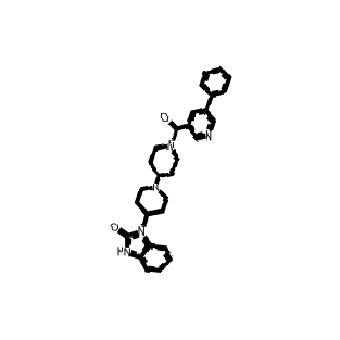 O=C(c1cncc(-c2ccccc2)c1)N1CCC(N2CCC(n3c(=O)[nH]c4ccccc43)CC2)CC1